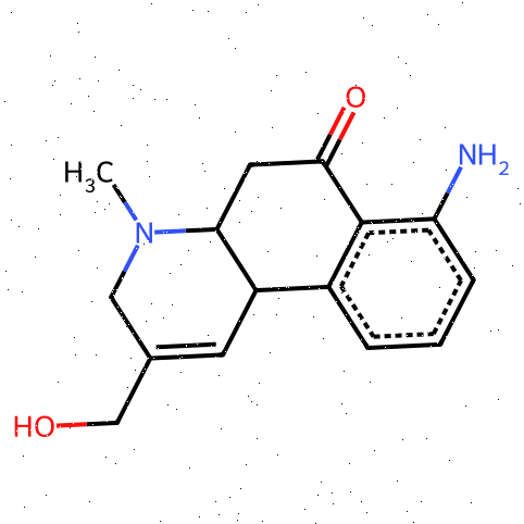 CN1CC(CO)=CC2c3cccc(N)c3C(=O)CC21